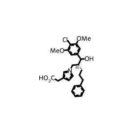 COc1cc(C(O)[C@H](CCCc2ccccc2)Cn2ccc(CC(=O)O)c2)cc(OC)c1Cl